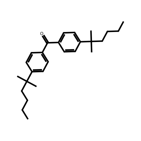 CCCCC(C)(C)c1ccc(C(=O)c2ccc(C(C)(C)CCCC)cc2)cc1